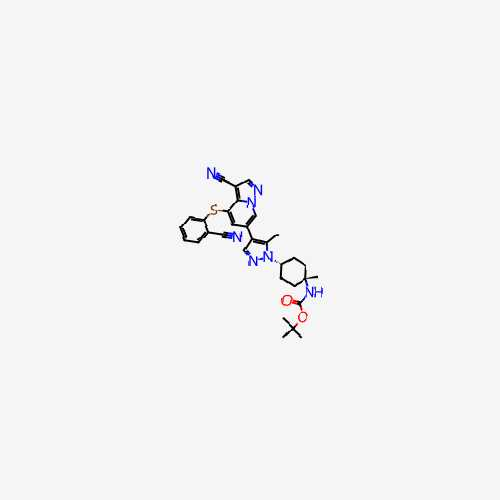 Cc1c(-c2cc(Sc3ccccc3C#N)c3c(C#N)cnn3c2)cnn1[C@H]1CC[C@@](C)(NC(=O)OC(C)(C)C)CC1